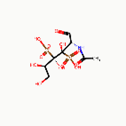 CC(=O)N[C@@H](C=O)[C@@](O)([C@@](O)([C@H](O)CO)S(=O)(=O)O)S(=O)(=O)O